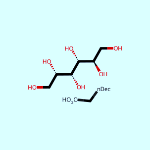 CCCCCCCCCCCC(=O)O.OC[C@@H](O)[C@@H](O)[C@H](O)[C@@H](O)CO